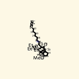 CC[Si](CC)(CC)O[C@H]1C[C@]2(C)[C@H](C)CC[C@]3(CC[C@@H](OC)[C@@H]23)[C@@H](C)C(=O)[C@@]1(C)C/C=C/CCCCCN=[N+]=[N-]